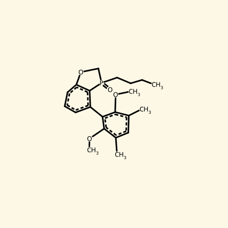 CCCCP1(=O)COc2cccc(-c3c(OC)c(C)cc(C)c3OC)c21